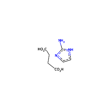 Nc1ncc[nH]1.O=C(O)CCC(=O)O